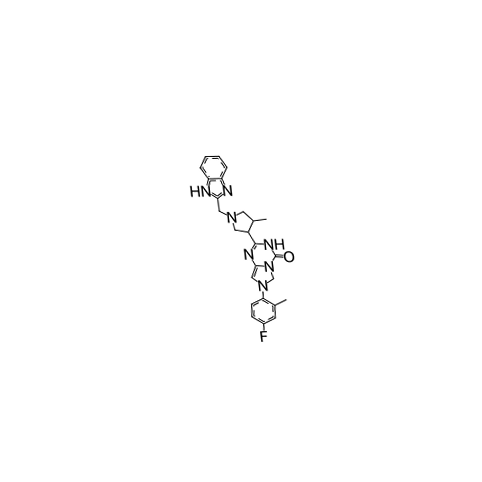 Cc1cc(F)ccc1N1C=C2N=C(C3CN(Cc4nc5ccccc5[nH]4)CC3C)NC(=O)N2C1